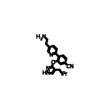 CC(C)Cc1c[nH]nc1Oc1cc(C#N)ccc1-c1ccc(CCN)cn1